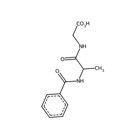 CC(NC(=O)c1ccccc1)C(=O)NCC(=O)O